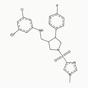 Cn1cnc(S(=O)(=O)N2CC(CNc3cc(Cl)cc(Cl)c3)C(c3ccc(F)cc3)C2)c1